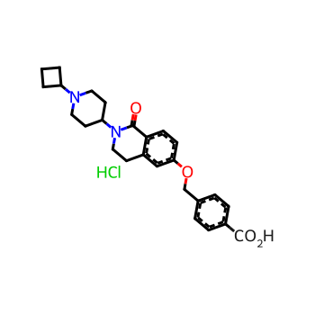 Cl.O=C(O)c1ccc(COc2ccc3c(c2)CCN(C2CCN(C4CCC4)CC2)C3=O)cc1